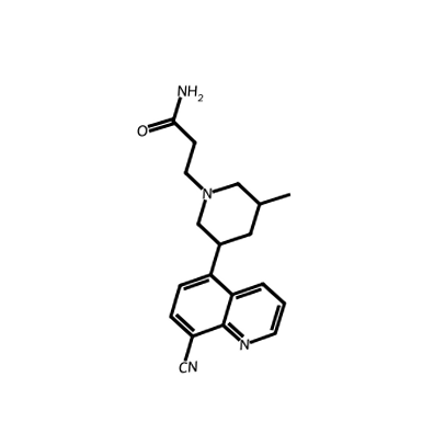 CC1CC(c2ccc(C#N)c3ncccc23)CN(CCC(N)=O)C1